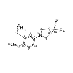 CCc1nc(N2CC3C(C2)C3(F)F)ccc1C=O